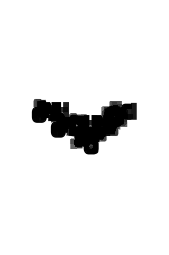 CC(=O)NCCC(=O)N1CCC[C@@H](N(C)C(=O)NCc2cc3cc(Cl)ccc3[nH]2)C1